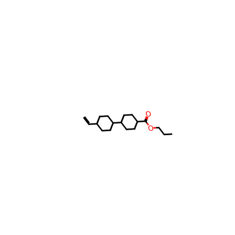 C=CC1CCC(C2CCC(C(=O)OCCC)CC2)CC1